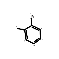 C[C](C)c1ccccc1C